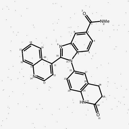 CNC(=O)c1ccc2c(c1)nc(-c1ccnc3ccccc13)n2-c1ccc2c(c1)CCC(=O)N2